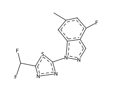 Cc1cc(F)c2cnn(-c3nnc(C(F)F)s3)c2c1